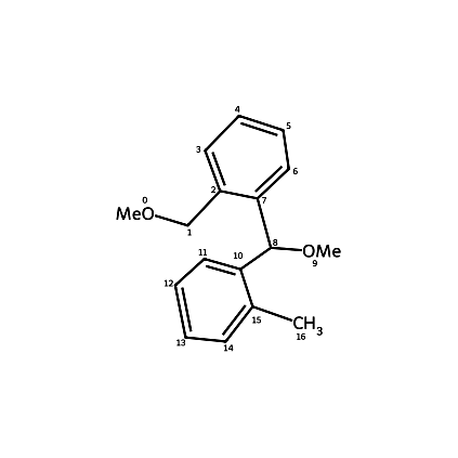 COCc1ccccc1C(OC)c1ccccc1C